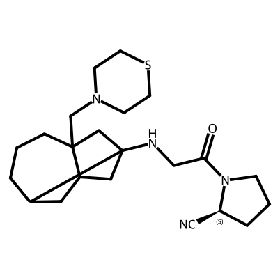 N#C[C@@H]1CCCN1C(=O)CNC12CC3CC1CCCC3(CN1CCSCC1)C2